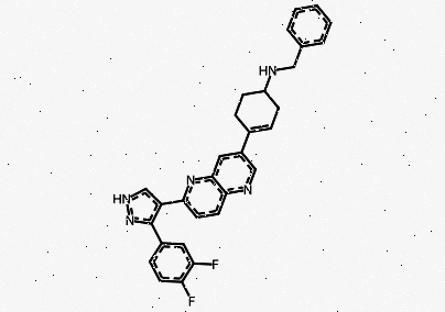 Fc1ccc(-c2n[nH]cc2-c2ccc3ncc(C4=CCC(NCc5ccccc5)CC4)cc3n2)cc1F